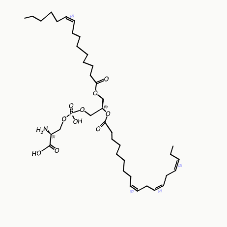 CC/C=C\C/C=C\C/C=C\CCCCCCCC(=O)O[C@H](COC(=O)CCCCCCC/C=C\CCCCC)COP(=O)(O)OC[C@H](N)C(=O)O